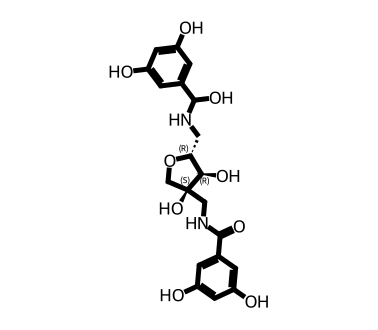 O=C(NC[C@]1(O)CO[C@H](CNC(O)c2cc(O)cc(O)c2)[C@H]1O)c1cc(O)cc(O)c1